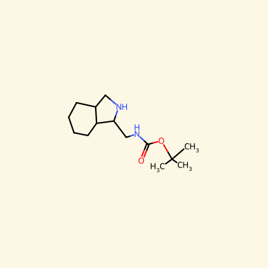 CC(C)(C)OC(=O)NCC1NCC2CCCCC21